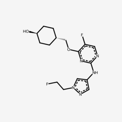 O[C@H]1CC[C@H](COc2nc(Nc3cnn(CCF)c3)ncc2F)CC1